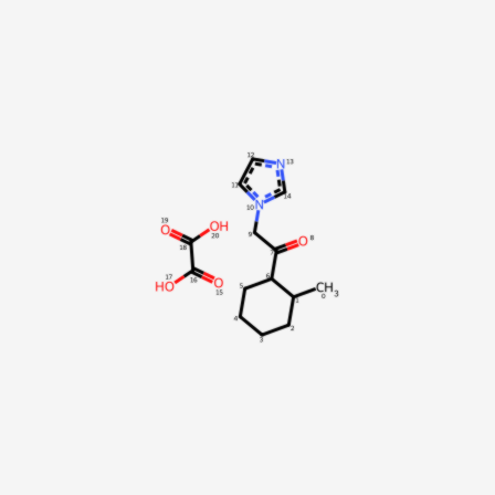 CC1CCCCC1C(=O)Cn1ccnc1.O=C(O)C(=O)O